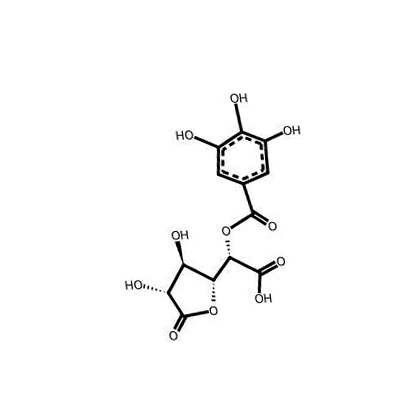 O=C(O[C@H](C(=O)O)[C@@H]1OC(=O)[C@H](O)[C@H]1O)c1cc(O)c(O)c(O)c1